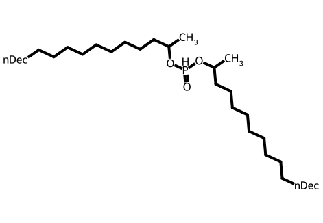 CCCCCCCCCCCCCCCCCCCC(C)O[PH](=O)OC(C)CCCCCCCCCCCCCCCCCCC